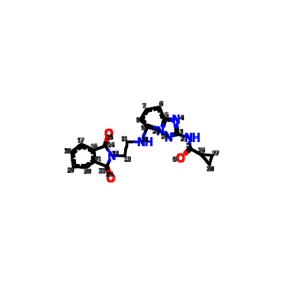 O=C(Nc1nc2cccc(NCCN3C(=O)c4ccccc4C3=O)n2n1)C1CC1